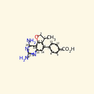 CC1COc2c1c(-c1ccc(C(=O)O)cc1)cc1nc(N)nc(N)c21